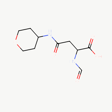 O=CNC(CC(=O)NC1CCOCC1)C(=O)O